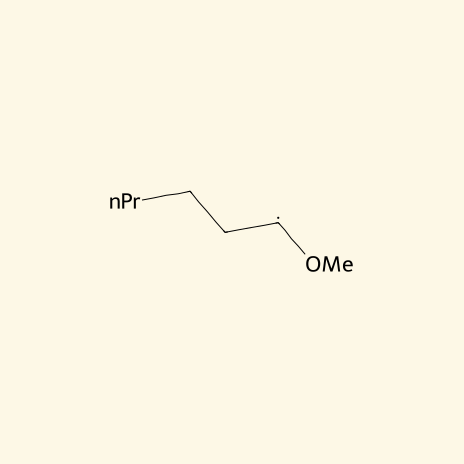 [CH2]CCCC[CH]OC